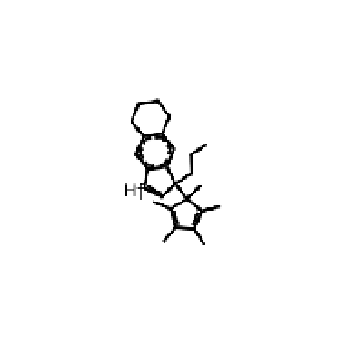 CCCC1(C2(C)C(C)=C(C)C(C)=C2C)C=Cc2cc3c(cc21)CCCC3.[Hf]